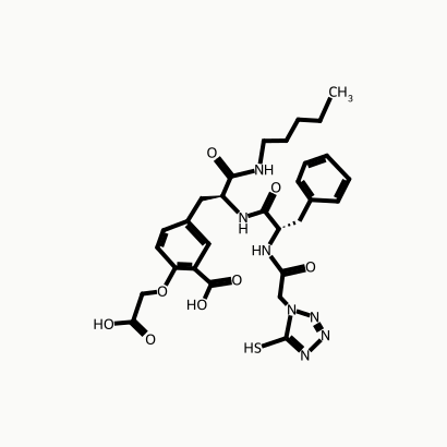 CCCCCNC(=O)[C@H](Cc1ccc(OCC(=O)O)c(C(=O)O)c1)NC(=O)[C@H](Cc1ccccc1)NC(=O)Cn1nnnc1S